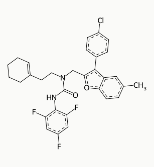 Cc1ccc2oc(CN(CCC3=CCCCC3)C(=O)Nc3c(F)cc(F)cc3F)c(-c3ccc(Cl)cc3)c2c1